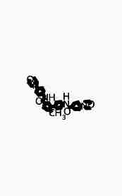 Cc1ccc(C(=O)Nc2ccc(N3CCOCC3)cc2)cc1-c1ccc(NC(=O)c2ccc(N3CCOCC3)cc2)cc1